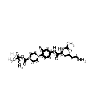 CC(=O)N[C@@H](CCCCN)C(=O)Nc1ccc(N2CCN(C(=O)OC(C)(C)C)CC2)c(F)c1